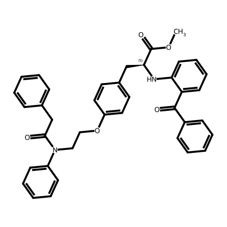 COC(=O)[C@H](Cc1ccc(OCCN(C(=O)Cc2ccccc2)c2ccccc2)cc1)Nc1ccccc1C(=O)c1ccccc1